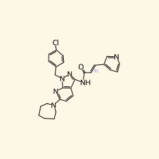 O=C(/C=C/c1cccnc1)Nc1nn(Cc2ccc(Cl)cc2)c2nc(N3CCCCCC3)ccc12